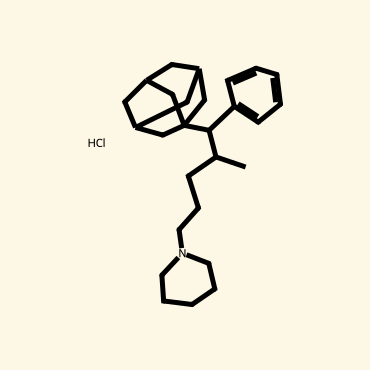 CC(CCCN1CCCCC1)C(c1ccccc1)C12CC3CC(CC(C3)C1)C2.Cl